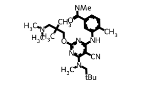 CNC(=O)c1ccc(C)c(Nc2nc(OCC(C)(C)CN(C)C)nc(N(C)CC(C)(C)C)c2C#N)c1